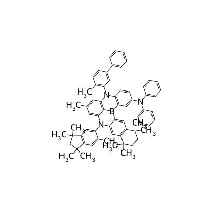 Cc1cc2c3c(c1)N(c1cc4c(cc1C)C(C)(C)CC4(C)C)c1cc4c(cc1B3c1cc(N(c3ccccc3)c3ccccc3)ccc1N2c1cc(-c2ccccc2)ccc1C)C(C)(C)CCC4(C)C